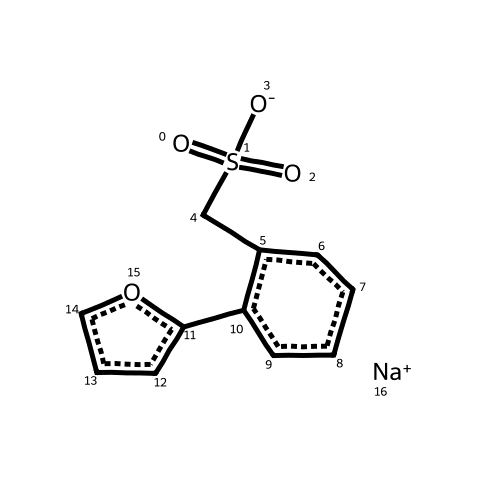 O=S(=O)([O-])Cc1ccccc1-c1ccco1.[Na+]